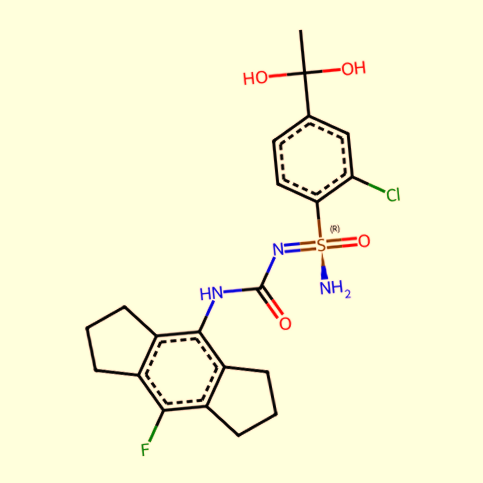 CC(O)(O)c1ccc([S@](N)(=O)=NC(=O)Nc2c3c(c(F)c4c2CCC4)CCC3)c(Cl)c1